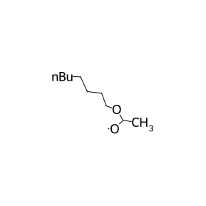 CCCCCCCCOC(C)[O]